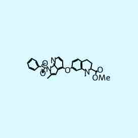 COC(=O)C1CCc2ccc(Oc3ccnc4c3cc(C)n4S(=O)(=O)c3ccccc3)cc2N1C